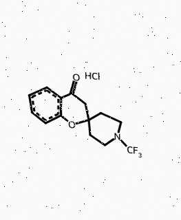 Cl.O=C1CC2(CCN(C(F)(F)F)CC2)Oc2ccccc21